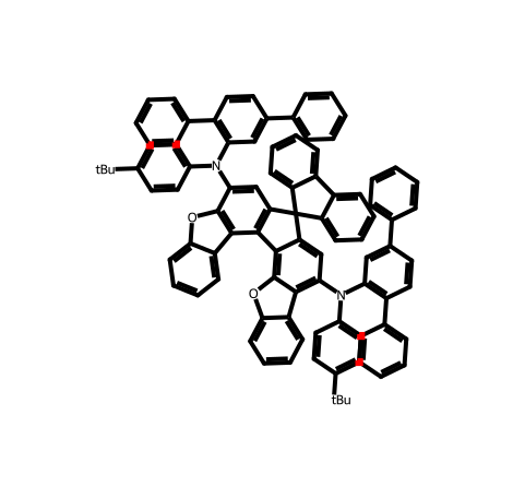 CC(C)(C)c1ccc(N(c2cc(-c3ccccc3)ccc2-c2ccccc2)c2cc3c(c4c2oc2ccccc24)-c2c(cc(N(c4ccc(C(C)(C)C)cc4)c4cc(-c5ccccc5)ccc4-c4ccccc4)c4c2oc2ccccc24)C32c3ccccc3-c3ccccc32)cc1